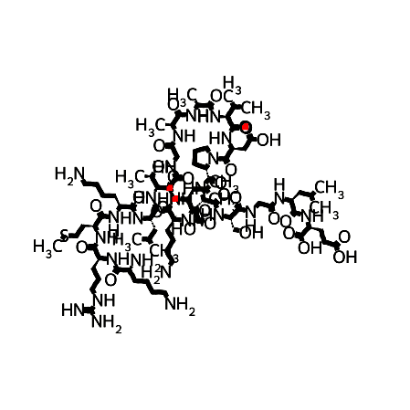 CSCC[C@H](NC(=O)[C@H](CCCNC(=N)N)NC(=O)[C@@H](N)CCCCN)C(=O)N[C@@H](CCCCN)C(=O)N[C@@H](CC(C)C)C(=O)N[C@H](C(=O)N[C@@H](CC(C)C)C(=O)N[C@@H](CCCCN)C(=O)NCC(=O)NCC(=O)N[C@@H](C)C(=O)N[C@@H](C)C(=O)N[C@H](C(=O)N[C@@H](CC(=O)O)C(=O)N1CCC[C@H]1C(=O)N[C@@H](CC(=O)O)C(=O)N[C@@H](CO)C(=O)NCC(=O)N[C@@H](CC(C)C)C(=O)N[C@@H](CCC(=O)O)C(=O)O)C(C)C)[C@@H](C)O